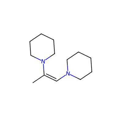 CC(=CN1CCCCC1)N1CCCCC1